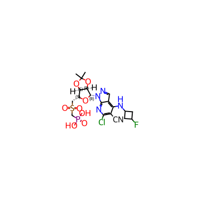 CC1(C)O[C@@H]2[C@H](O1)[C@@H](CS(=O)(=O)CP(=O)(O)O)O[C@H]2n1ncc2c(NC3CC(F)C3)c(C#N)c(Cl)nc21